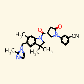 Cc1cc2c(cc1Cn1ccnc1C)C(C)(C)CN2C(=O)[C@H]1CC(=O)N(c2cccc(C#N)c2)C1